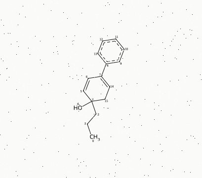 CCCC1(O)C=CC(c2ccccc2)=CC1